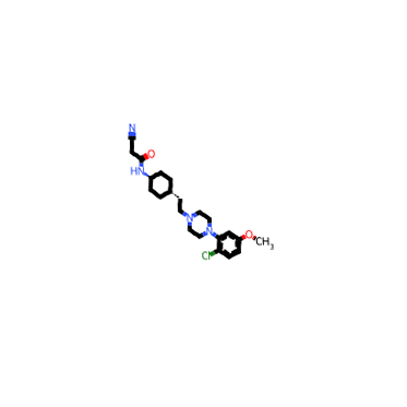 COc1ccc(Cl)c(N2CCN(CC[C@H]3CC[C@H](NC(=O)CC#N)CC3)CC2)c1